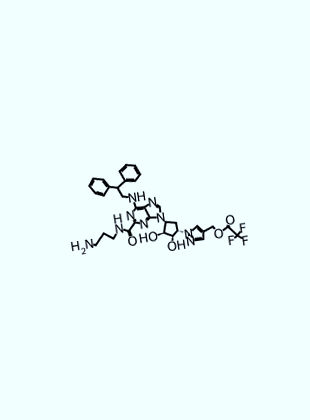 NCCCNC(=O)c1nc(NCC(c2ccccc2)c2ccccc2)c2ncn([C@@H]3C[C@H](n4cc(COC(=O)C(F)(F)F)cn4)[C@@H](O)[C@H]3O)c2n1